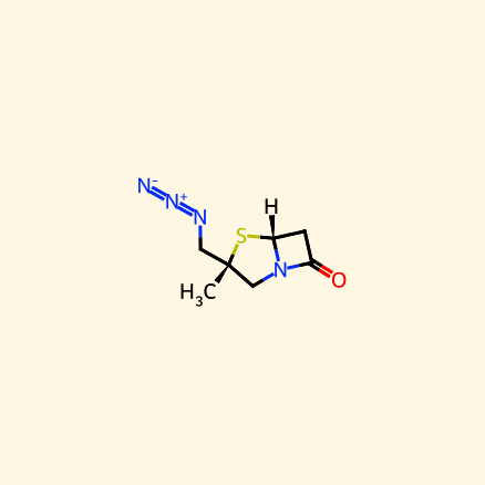 C[C@]1(CN=[N+]=[N-])CN2C(=O)C[C@H]2S1